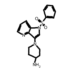 NC1CCN(c2cn(S(=O)(=O)c3ccccc3)c3cccnc23)CC1